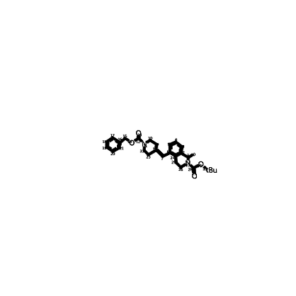 CC1c2cccc(C=C3CCN(C(=O)OCc4ccccc4)CC3)c2CCN1C(=O)OC(C)(C)C